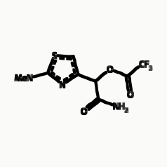 CNc1nc(C(OC(=O)C(F)(F)F)C(N)=O)cs1